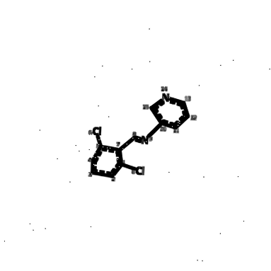 Clc1cccc(Cl)c1C=Nc1cccnc1